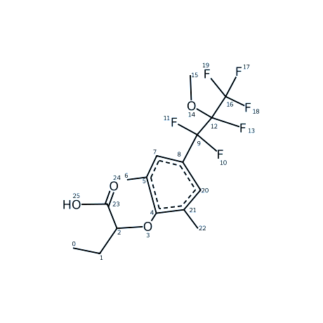 CCC(Oc1c(C)cc(C(F)(F)C(F)(OC)C(F)(F)F)cc1C)C(=O)O